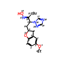 CCOc1ccc2c(c1)CC(CC(C(=NO)C(C)(C)C)n1cncn1)O2